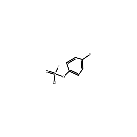 O=P(F)(Cl)Oc1ccc(F)cc1